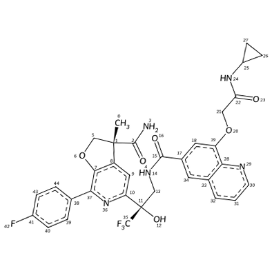 C[C@]1(C(N)=O)COc2c1cc([C@@](O)(CNC(=O)c1cc(OCC(=O)NC3CC3)c3ncccc3c1)C(F)(F)F)nc2-c1ccc(F)cc1